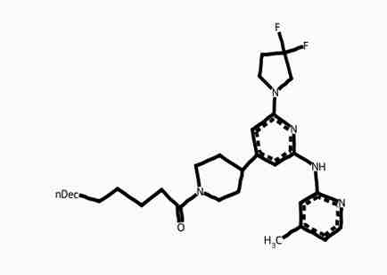 CCCCCCCCCCCCCCC(=O)N1CCC(c2cc(Nc3cc(C)ccn3)nc(N3CCC(F)(F)C3)c2)CC1